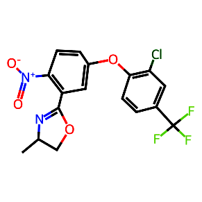 CC1COC(c2cc(Oc3ccc(C(F)(F)F)cc3Cl)ccc2[N+](=O)[O-])=N1